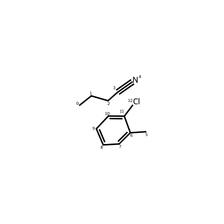 CCCC#N.Cc1ccccc1Cl